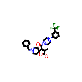 CC1=C(C(=O)N2CCN(c3cccc(C(F)(F)F)c3)CC2)C2(CCN(Cc3ccccc3)CC2)OC1=O